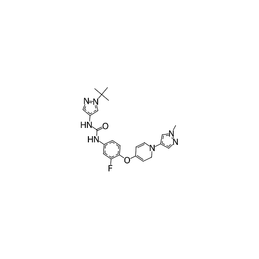 Cn1cc(N2C=CC(Oc3ccc(NC(=O)Nc4cnn(C(C)(C)C)c4)cc3F)=CC2)cn1